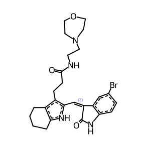 O=C(CCc1c(/C=C2\C(=O)Nc3ccc(Br)cc32)[nH]c2c1CCCC2)NCCN1CCOCC1